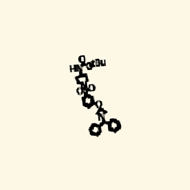 CC(C)(C)OC(=O)NC1CCN(S(=O)(=O)c2cccc(OC3CN(C(c4ccccc4)c4ccccc4)C3)c2)CC1